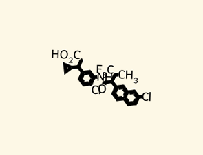 CC(C(C(=O)Nc1cc(C(CC(=O)O)C2CC2)ccc1Cl)c1ccc2ccc(Cl)cc2c1)C(F)(F)F